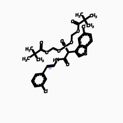 CC(C)(C)C(=O)OCOP(=O)(OCOC(=O)C(C)(C)C)C(C(=O)N/C=C/c1cccc(Cl)c1)c1csc2ccc(Cl)cc12